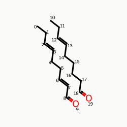 CCC=CCCC=CC=O.CCC=CCCCCC=O